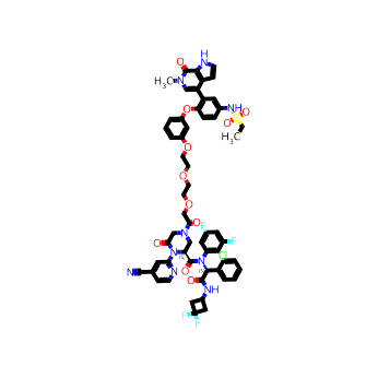 CCS(=O)(=O)Nc1ccc(Oc2cccc(OCCOCCOCC(=O)N3CC(=O)N(c4cc(C#N)ccn4)[C@H](C(=O)N(c4cc(F)cc(F)c4)[C@H](C(=O)NC4CC(F)(F)C4)c4ccccc4Cl)C3)c2)c(-c2cn(C)c(=O)c3[nH]ccc23)c1